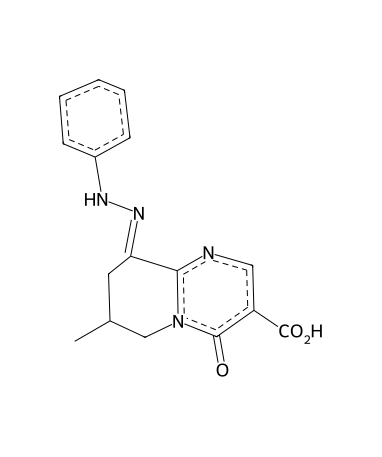 CC1CC(=NNc2ccccc2)c2ncc(C(=O)O)c(=O)n2C1